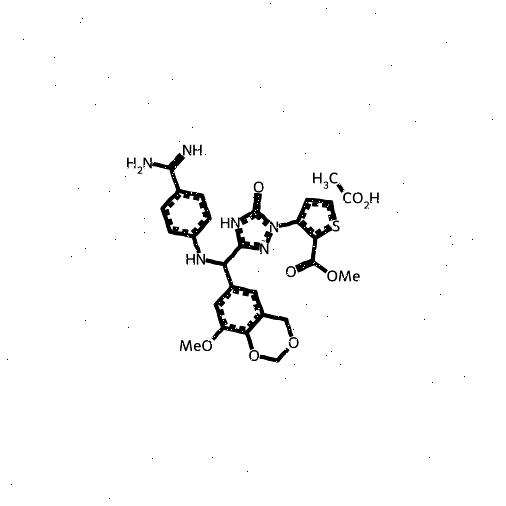 CC(=O)O.COC(=O)c1sccc1-n1nc(C(Nc2ccc(C(=N)N)cc2)c2cc3c(c(OC)c2)OCOC3)[nH]c1=O